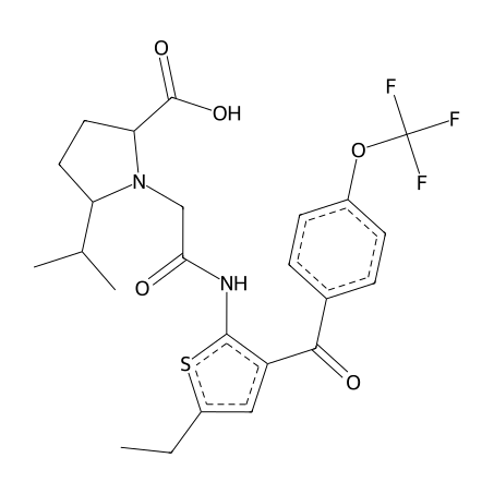 CCc1cc(C(=O)c2ccc(OC(F)(F)F)cc2)c(NC(=O)CN2C(C(=O)O)CCC2C(C)C)s1